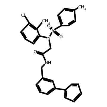 Cc1ccc(S(=O)(=O)N(CC(=O)NCc2cccc(-c3ccccc3)c2)c2cccc(Cl)c2C)cc1